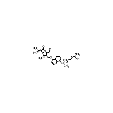 C[C@H]1C(COc2cccc3c(C[N+](C)(C)CCCSC(=N)N)cccc23)=C(C=O)N2C(=O)[C@H]([C@@H](C)O)C12